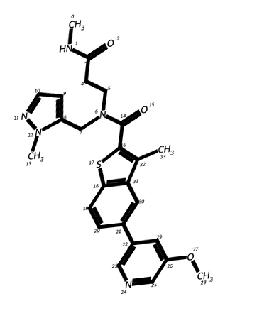 CNC(=O)CCN(Cc1ccnn1C)C(=O)c1sc2ccc(-c3cncc(OC)c3)cc2c1C